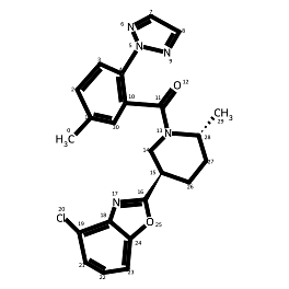 Cc1ccc(-n2nccn2)c(C(=O)N2C[C@H](c3nc4c(Cl)cccc4o3)CC[C@H]2C)c1